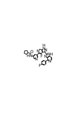 O=C(Nc1cncc(-c2ncc3[nH]nc(-c4nc5c(-c6ccc(F)cc6)nccc5[nH]4)c3c2F)c1)C1CCCC1